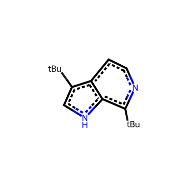 CC(C)(C)c1c[nH]c2c(C(C)(C)C)nccc12